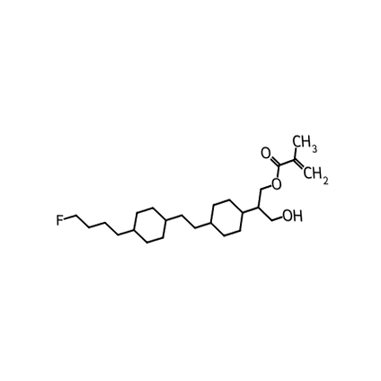 C=C(C)C(=O)OCC(CO)C1CCC(CCC2CCC(CCCCF)CC2)CC1